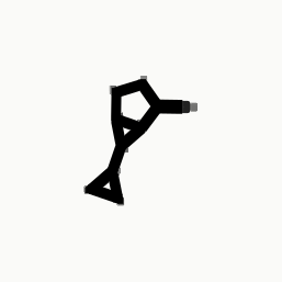 O=C1CCC2C1C2C1CC1